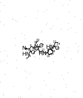 CCNC(=O)C(C#N)CC1SC(CCNc2cccc(NC(=O)CC)c2)C(=O)N1CC